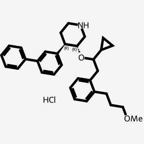 COCCCc1ccccc1CC(O[C@H]1CNCC[C@@H]1c1cccc(-c2ccccc2)c1)C1CC1.Cl